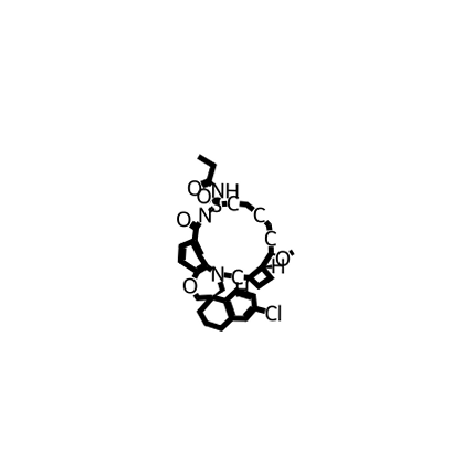 CCC(=O)NS1(=O)=NC(=O)c2ccc3c(c2)N(C[C@@H]2CC[C@H]2[C@@H](OC)CCCCC1)C[C@@]1(CCCc2cc(Cl)ccc21)CO3